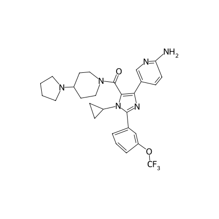 Nc1ccc(-c2nc(-c3cccc(OC(F)(F)F)c3)n(C3CC3)c2C(=O)N2CCC(N3CCCC3)CC2)cn1